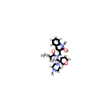 CCCC(CCC)C(=O)N(Cc1cc2ccccc2n(C)c1=O)CC1(N2CCN(C)CC2)CCCOC1